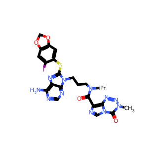 CC(C)N(CCCn1c(Sc2cc3c(cc2I)OCO3)nc2c(N)ncnc21)C(=O)c1ncn2c(=O)n(C)nnc12